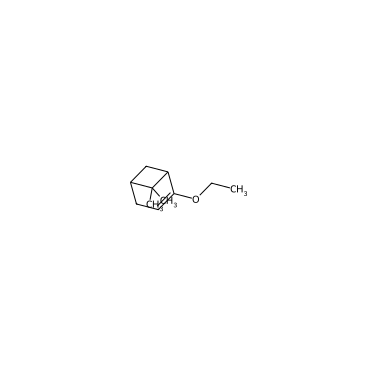 CCOC1=CCC2CC1C2(C)C